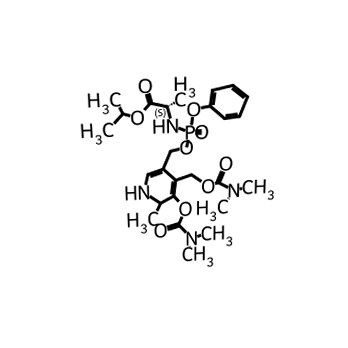 CC(C)OC(=O)[C@H](C)NP(=O)(OCC1=CNC(C)C(OC(=O)N(C)C)=C1COC(=O)N(C)C)Oc1ccccc1